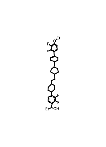 CCOc1ccc(C2=CCC(C3CCC(CCC4CCC(c5ccc(C(O)CC)c(F)c5F)CC4)CC3)CC2)c(F)c1F